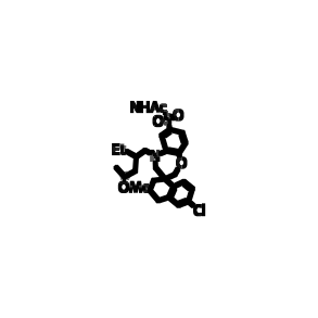 CCC(C[C@@H](C)OC)CN1CC2(CCCc3cc(Cl)ccc32)COc2ccc(S(=O)(=O)NC(C)=O)cc21